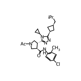 CC(=O)N1C[C@H](C(=O)Nc2ccc(Cl)cc2C)[C@@H](c2nnc([C@H]3C[C@@H](CC(C)C)C3)n2C2CC2)C1